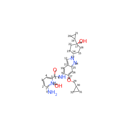 Nc1cccc(C(=O)Nc2cc3cn([C@H]4CC[C@@](O)(C5CC5)CC4)nc3cc2OCC2CC2)[n+]1O